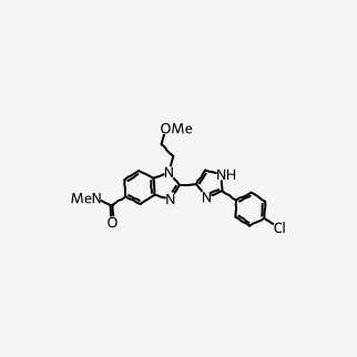 CNC(=O)c1ccc2c(c1)nc(-c1c[nH]c(-c3ccc(Cl)cc3)n1)n2CCOC